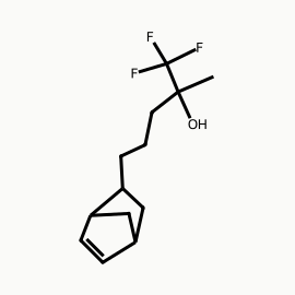 CC(O)(CCCC1CC2C=CC1C2)C(F)(F)F